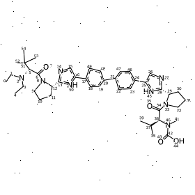 CCN(CC)[C@@H](C(=O)N1CCC[C@H]1c1ncc(-c2ccc(-c3ccc(-c4cnc([C@@H]5CCCN5C(=O)[C@H](C(C)C)N(C)C(=O)O)[nH]4)cc3)cc2)[nH]1)C(C)(C)C